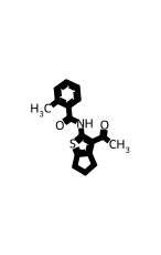 CC(=O)c1c(NC(=O)c2ccccc2C)sc2c1CCC2